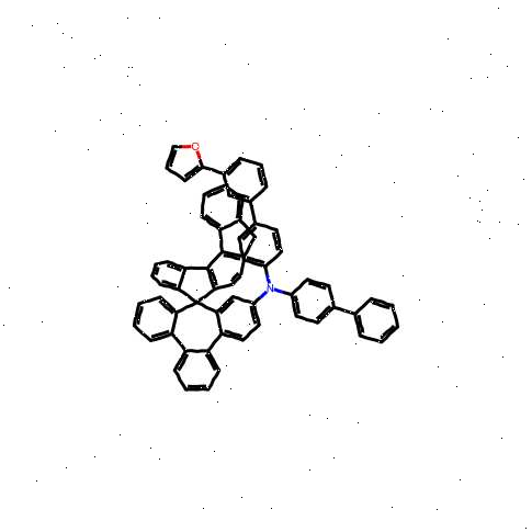 c1ccc(-c2ccc(N(c3ccc(-c4cccc(-c5ccco5)c4)cc3)c3ccc4c(c3)C3(c5ccccc5-c5ccccc5-4)c4ccccc4-c4c3ccc3c4-c4ccccc4C3)cc2)cc1